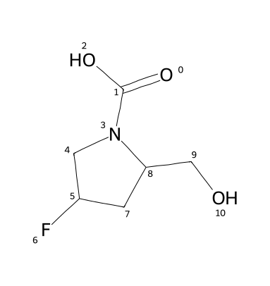 O=C(O)N1CC(F)CC1CO